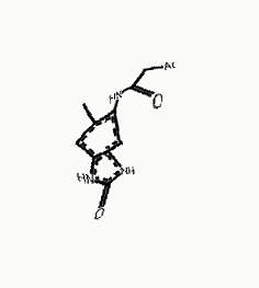 CC(=O)CC(=O)Nc1cc2[nH]c(=O)[nH]c2cc1C